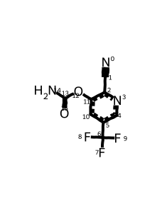 N#Cc1ncc(C(F)(F)F)cc1OC(N)=O